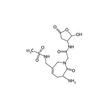 CS(=O)(=O)NCC1=CCC(N)C(=O)N(CC(=O)NC2CC(=O)OC2O)C1